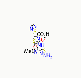 CO/N=C(\C(=O)N[C@@H]1C(=O)N2C(C(=O)O)=C(CSc3nccn3C)CS[C@H]12)c1csc(N)n1